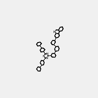 c1ccc(-c2ccc(-c3nc(-c4ccc(-c5ccccc5)cc4)nc(-c4cccc(-c5cccc(-c6cccc(-c7ccc8c(c7)ncc7ccccc78)c6)c5)c4)n3)cc2)cc1